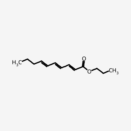 CCCC=CC=CC=CC(=O)OCCC